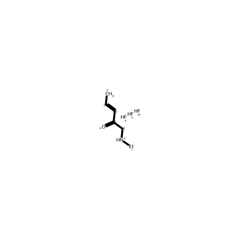 CC=CC(=O)CNCC.F.F.F